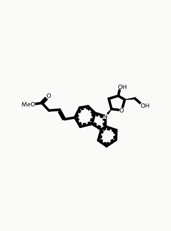 COC(=O)C/C=C/c1ccc2c(c1)c1ccccc1n2[C@H]1CC(O)[C@@H](CO)O1